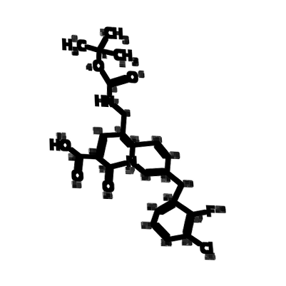 CC(C)(C)OC(=O)NCc1cc(C(=O)O)c(=O)n2cc(Cc3cccc(Cl)c3F)ccc12